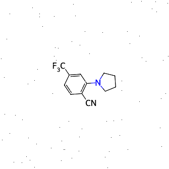 N#Cc1ccc(C(F)(F)F)cc1N1CCCC1